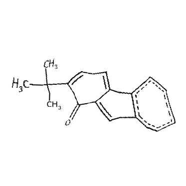 CC(C)(C)C1=CC=C2C(=Cc3ccccc32)C1=O